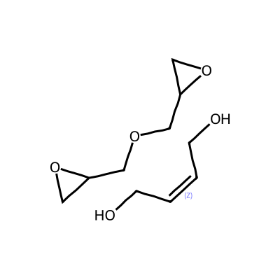 C(OCC1CO1)C1CO1.OC/C=C\CO